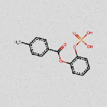 Cc1ccc(C(=O)Oc2ccccc2OP(=O)(O)O)cc1